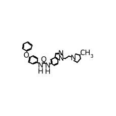 CC1CCCN(CCn2ncc3cc(NC(=O)Nc4ccc(Oc5ccccc5)cc4)ccc32)C1